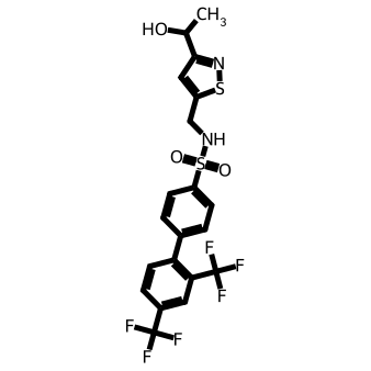 CC(O)c1cc(CNS(=O)(=O)c2ccc(-c3ccc(C(F)(F)F)cc3C(F)(F)F)cc2)sn1